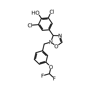 Oc1c(Cl)cc(C2N=CON2Cc2cccc(OC(F)F)c2)cc1Cl